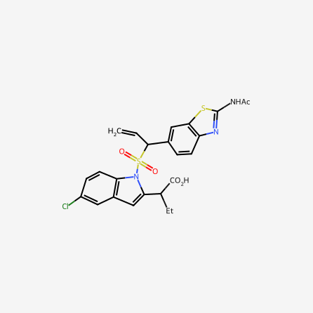 C=CC(c1ccc2nc(NC(C)=O)sc2c1)S(=O)(=O)n1c(C(CC)C(=O)O)cc2cc(Cl)ccc21